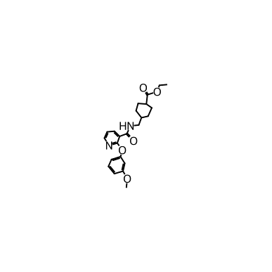 CCOC(=O)C1CCC(CNC(=O)c2cccnc2Oc2cccc(OC)c2)CC1